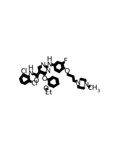 CCOc1ccccc1Oc1nc(Nc2ccc(OCCCN3CCN(C)CC3)c(F)c2)ncc1C(=O)Nc1c(Cl)cccc1Cl